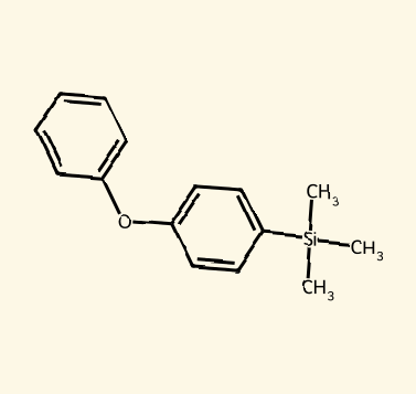 C[Si](C)(C)c1ccc(Oc2ccccc2)cc1